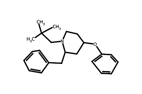 CC(C)(C)CN1CCC(Oc2ccccc2)CC1Cc1ccccc1